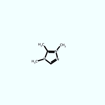 Cc1n(C)cn[n+]1C